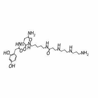 NCCCNCCCNCCC(=O)NCCCCCNC(=O)[C@H](CC(N)=O)NC(=O)Cc1ccc(O)cc1O